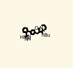 CCCCc1c(Cc2ccc(-c3ccccc3-c3nnn[nH]3)cc2)c(=O)n2n1CC=CC2